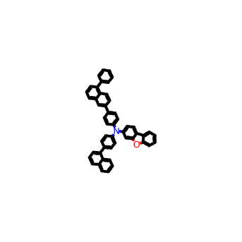 c1ccc(-c2cccc3cc(-c4ccc(N(c5ccc(-c6cccc7ccccc67)cc5)c5ccc6c(c5)oc5ccccc56)cc4)ccc23)cc1